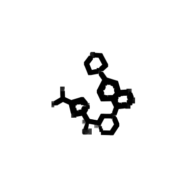 O[C@@H](c1nc(C(F)F)cs1)[C@H]1CCCN(c2nnnc3cc(N4CCOCC4)ccc23)C1